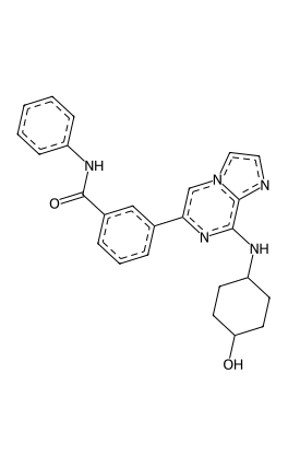 O=C(Nc1ccccc1)c1cccc(-c2cn3ccnc3c(NC3CCC(O)CC3)n2)c1